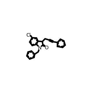 O=C1C(CC#Cc2ccccc2)c2cc(Cl)ccc2N1Cc1ccccc1